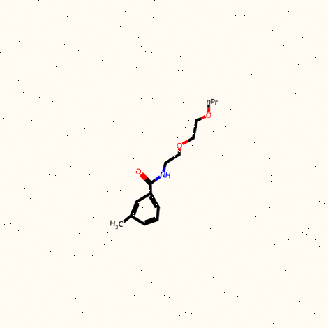 CCCOCCOCCNC(=O)c1cccc(C)c1